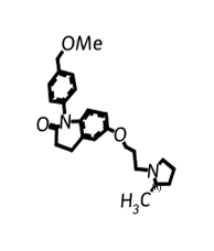 COCc1ccc(N2C(=O)CCc3cc(OCCCN4CCC[C@H]4C)ccc32)cc1